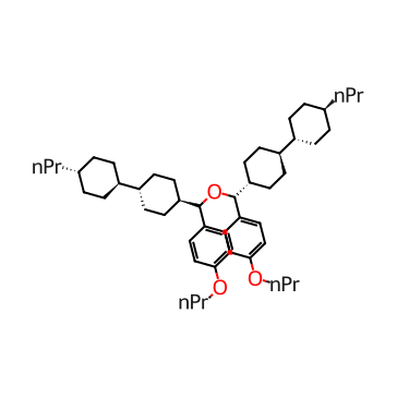 CCCOc1ccc(C(OC(c2ccc(OCCC)cc2)[C@H]2CC[C@H]([C@H]3CC[C@H](CCC)CC3)CC2)[C@H]2CC[C@H]([C@H]3CC[C@H](CCC)CC3)CC2)cc1